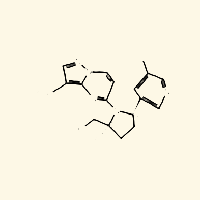 C[C@@]1(CO)CC[C@H](c2cncc(F)c2)N1c1ccn2ncc(C(=O)O)c2n1